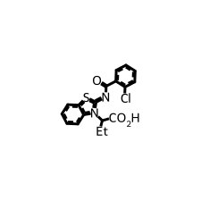 CCC(C(=O)O)n1c(=NC(=O)c2ccccc2Cl)sc2ccccc21